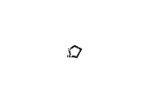 [CH]1CCON1